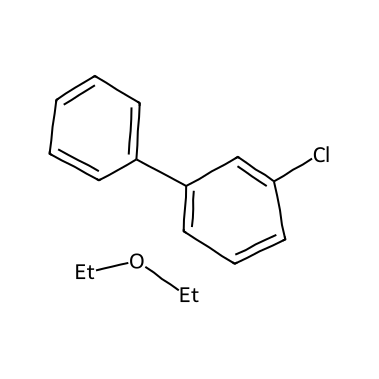 CCOCC.Clc1cccc(-c2ccccc2)c1